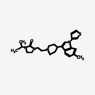 Cc1ccc2c(C3CCN(CCN4CCN(C(C)C)C4=O)CC3)cn(-c3ccsc3)c2c1